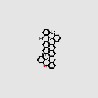 CCc1cccc(CC)c1N(c1c(C)cccc1C)c1ccc2ccc3c(N(c4c(C)cccc4C)c4c(CC)cccc4CC)ccc4ccc1c2c43